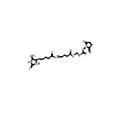 CC1NC(=O)NC1CCCCC(=O)NCCCCC(=O)OCOC(=O)ON1C(=O)CCC1=O